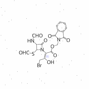 O=CNC1C(=O)N(/C(C(=O)OCN2C(=O)c3ccccc3C2=O)=C(/O)CBr)C1SC=O